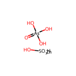 O=S(=O)(O)O.O=[As](O)(O)O.[Zn]